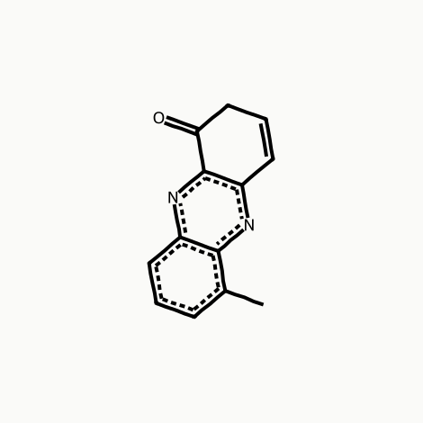 Cc1cccc2nc3c(nc12)C=CCC3=O